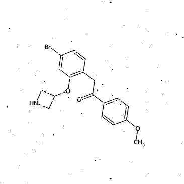 COc1ccc(C(=O)Cc2ccc(Br)cc2OC2CNC2)cc1